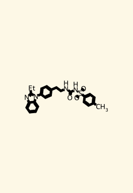 CCc1nc2ccccc2n1-c1ccc(CCNC(=O)NS(=O)(=O)c2ccc(C)cc2)cc1